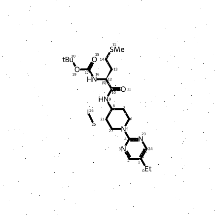 CCc1cnc(N2CCC(NC(=O)[C@H](CCSC)NC(=O)OC(C)(C)C)CC2)nc1.CI